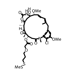 COc1cc2cc(c1Cl)N(C)C(=O)C[C@H](OC(=O)COCCCSSC)[C@]1(C)O[C@H]1[C@H](C)[C@@H]1C[C@@](O)(NC(=O)O1)[C@H](OC)/C=C/C=C(\C)C2